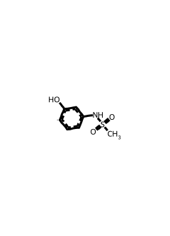 CS(=O)(=O)Nc1cc[c]c(O)c1